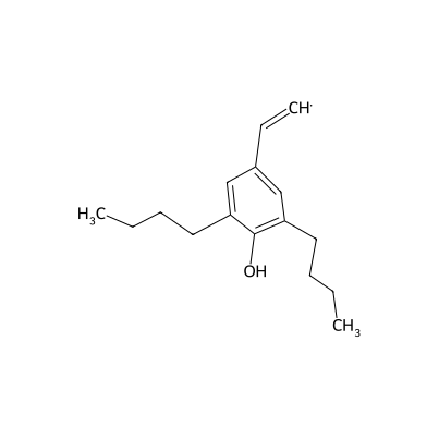 [CH]=Cc1cc(CCCC)c(O)c(CCCC)c1